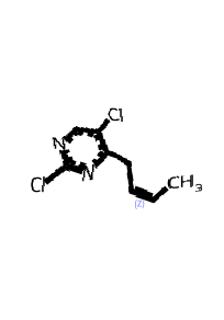 C/C=C\Cc1nc(Cl)ncc1Cl